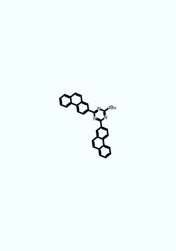 CC(C)(C)c1nc(-c2ccc3c(ccc4ccccc43)c2)nc(-c2ccc3c(ccc4ccccc43)c2)n1